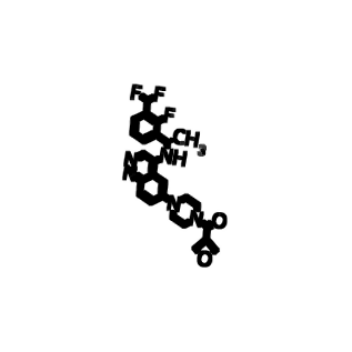 C[C@@H](Nc1cnnc2ccc(N3CCN(C(=O)C4COC4)CC3)cc12)c1cccc(C(F)F)c1F